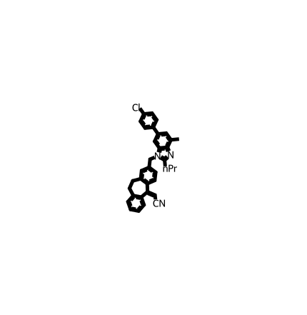 CCCc1nc2c(C)cc(-c3ccc(Cl)cc3)cc2n1Cc1ccc2c(c1)CCc1ccccc1/C2=C\C#N